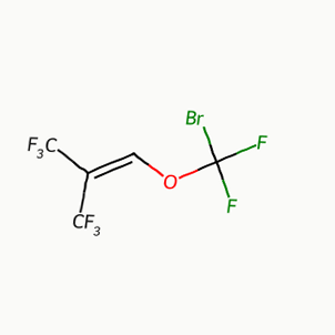 FC(F)(Br)OC=C(C(F)(F)F)C(F)(F)F